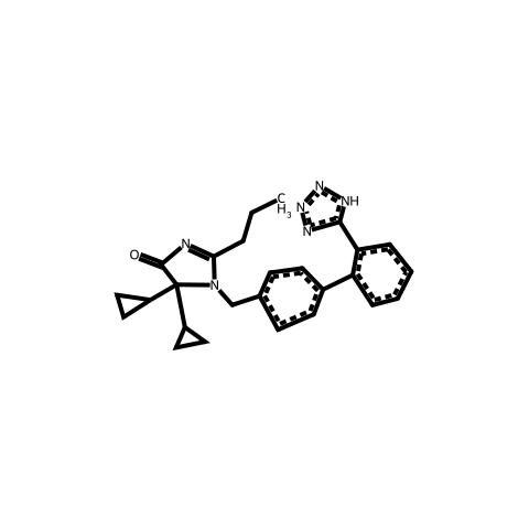 CCCC1=NC(=O)C(C2CC2)(C2CC2)N1Cc1ccc(-c2ccccc2-c2nnn[nH]2)cc1